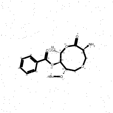 CCCCO[C@H]1COC[C@H](N)C(=O)O[C@@H](C)[C@@H]1OC(=O)c1ccccc1